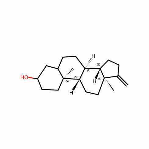 C=C1CC[C@H]2[C@@H]3CCC4CC(O)CC[C@]4(C)[C@H]3CC[C@]12C